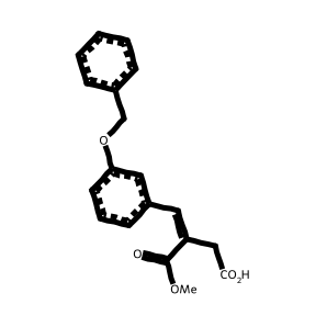 COC(=O)C(=Cc1cccc(OCc2ccccc2)c1)CC(=O)O